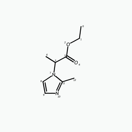 CCOC(=O)C(C)n1ccnc1C